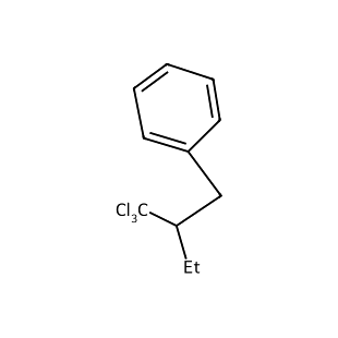 [CH2]CC(Cc1ccccc1)C(Cl)(Cl)Cl